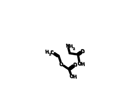 C=COC(=O)O.NCC(=O)O